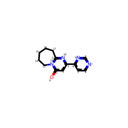 O=c1cc(-c2ccncn2)nc2n1CCCCC2